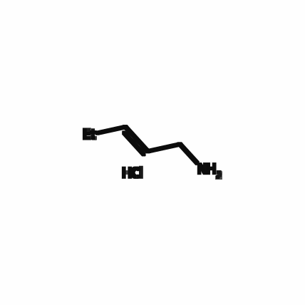 CCC=CCN.Cl